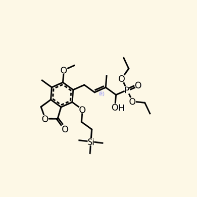 CCOP(=O)(OCC)C(O)/C(C)=C/Cc1c(OC)c(C)c2c(c1OCC[Si](C)(C)C)C(=O)OC2